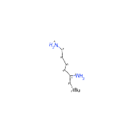 CC(C)(C)CC(N)CCCCN